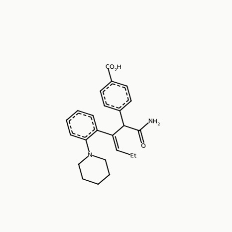 CCC=C(c1ccccc1N1CCCCC1)C(C(N)=O)c1ccc(C(=O)O)cc1